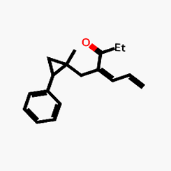 C=C/C=C(/CC1(C)CC1c1ccccc1)C(=O)CC